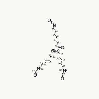 O=C=NCCCCCCCC(=O)N(CCCCCCN=C=O)C(=O)CCCCCCCN=C=O